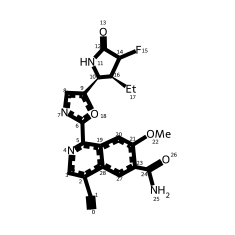 C#Cc1cnc(-c2ncc([C@H]3NC(=O)C(F)[C@H]3CC)o2)c2cc(OC)c(C(N)=O)cc12